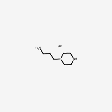 Cl.NCCCN1CCNCC1